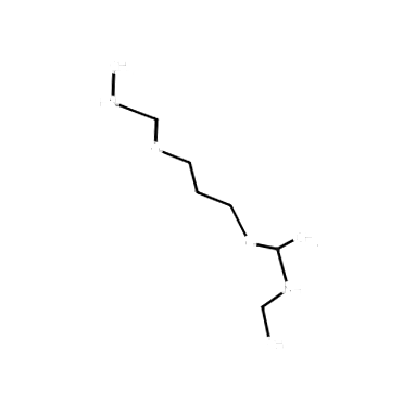 CCNC(C)OC[CH]COCNC